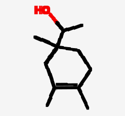 CC1=C(C)CC(C)(C(C)O)CC1